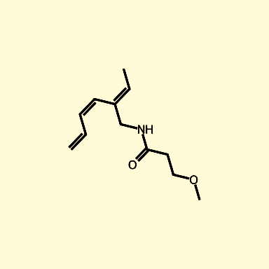 C=C/C=C\C(=C/C)CNC(=O)CCOC